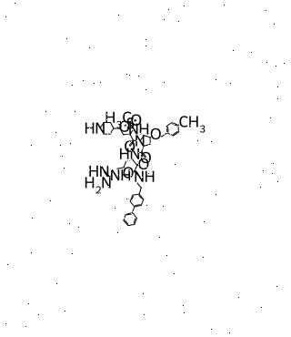 Cc1ccc(CO[C@@H]2C[C@@H](C(=O)N[C@@H](CCCNC(=N)N)C(=O)C(=O)NCCc3ccc(-c4ccccc4)cc3)N(C(=O)[C@@H](CCC3CCNCC3)NS(C)(=O)=O)C2)cc1